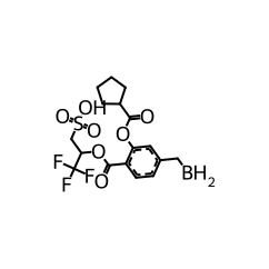 BCc1ccc(C(=O)OC(CS(=O)(=O)O)C(F)(F)F)c(OC(=O)C2CCCC2)c1